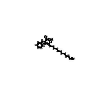 O=C(CCCCCCCCCCCBr)N[C@@H](Cc1ccccc1)C(=O)O